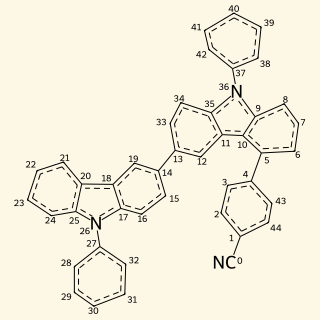 N#Cc1ccc(-c2cccc3c2c2cc(-c4ccc5c(c4)c4ccccc4n5-c4ccccc4)ccc2n3-c2ccccc2)cc1